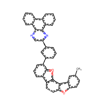 Cc1ccc2oc3ccc4c5cccc(-c6cccc(-c7cnc8c9ccccc9c9ccccc9c8n7)c6)c5oc4c3c2c1